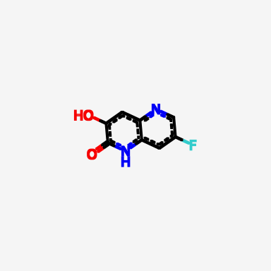 O=c1[nH]c2cc(F)cnc2cc1O